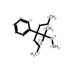 CCCC(CCC)(c1ccccc1)C(C)(C)O[SiH3]